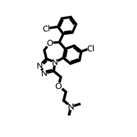 CN(C)CCOCc1nnc2n1-c1ccc(Cl)cc1C(c1ccccc1Cl)OC2